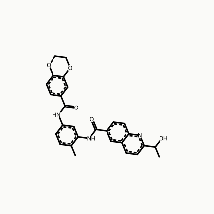 Cc1ccc(NC(=O)c2ccc3c(c2)OCCO3)cc1NC(=O)c1ccc2nc(C(C)O)ccc2c1